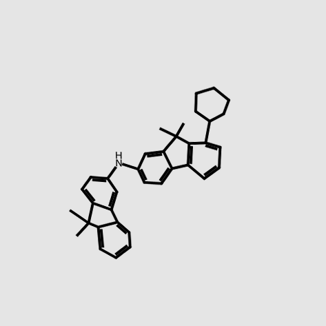 CC1(C)c2ccccc2-c2cc(Nc3ccc4c(c3)C(C)(C)c3c-4cccc3C3CCCCC3)ccc21